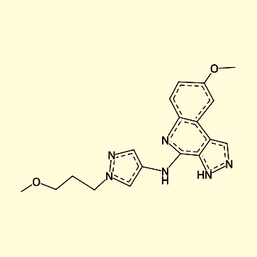 COCCCn1cc(Nc2nc3ccc(OC)cc3c3cn[nH]c23)cn1